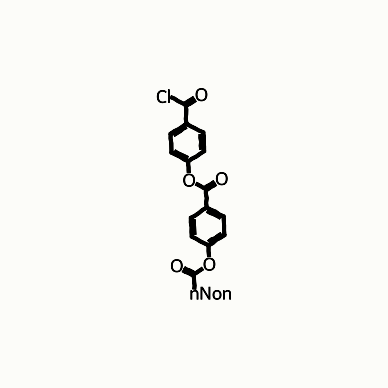 CCCCCCCCCC(=O)Oc1ccc(C(=O)Oc2ccc(C(=O)Cl)cc2)cc1